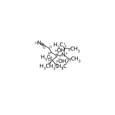 CC(C)N(C(C)C)P(O)(O)(CCC#N)C(C)(C)C